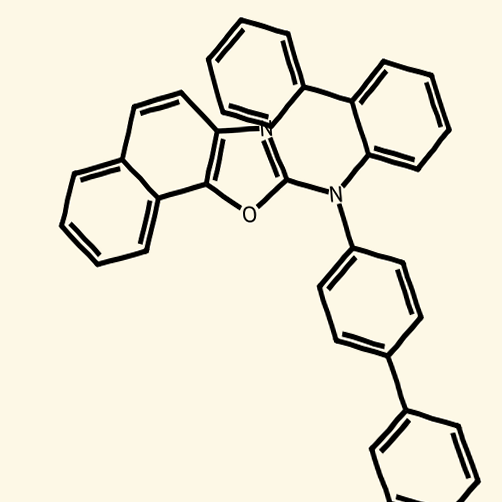 c1ccc(-c2ccc(N(c3nc4ccc5ccccc5c4o3)c3ccccc3-c3ccccc3)cc2)cc1